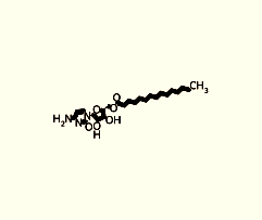 CCCCCCCCCCCCCCC(=O)OC[C@H]1O[C@@H](n2ccc(N)nc2=O)[C@H](O)[C@@H]1O